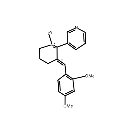 COc1ccc(/C=C2\CCC[N+](C(C)C)=C2c2cccnc2)c(OC)c1